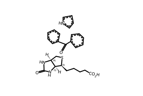 O=C(O)CCCC[C@@H]1SC[C@@H]2NC(=O)N[C@@H]21.O=C(c1ccccc1)c1ccccc1.c1cc[nH]c1